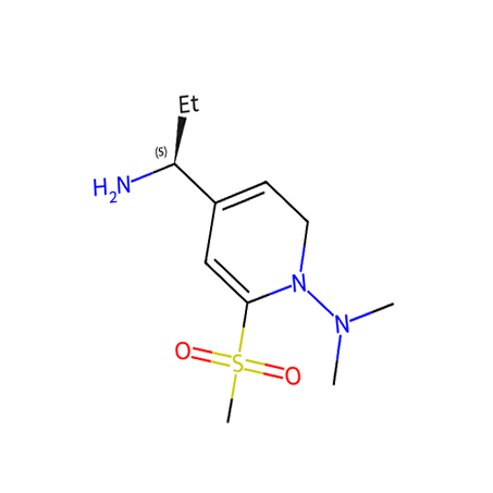 CC[C@H](N)C1=CCN(N(C)C)C(S(C)(=O)=O)=C1